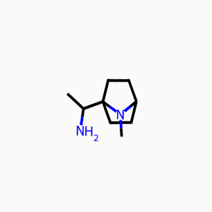 CC(N)C12CCC(CC1)N2C